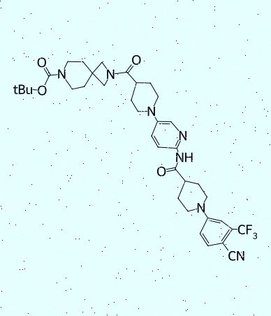 CC(C)(C)OC(=O)N1CCC2(CC1)CN(C(=O)C1CCN(c3ccc(NC(=O)C4CCN(c5ccc(C#N)c(C(F)(F)F)c5)CC4)nc3)CC1)C2